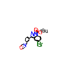 CC(C)(C)OC(=O)n1nc(-c2cccc(CN3CCOCC3)c2)c2cc(Br)ccc21